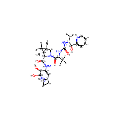 CC(C)[C@H](NC(=O)N[C@H](C(=O)N1C[C@H]2[C@@H]([C@H]1C(=O)N/C(=C/C1CCC1)C(=O)C(N)=O)C2(C)C)C(C)(C)C)C(=O)c1ccccn1